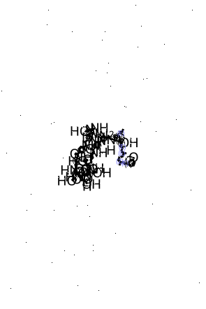 C/C=C/[C@@H]1O[C@H]([C@H](O)/C=C/C=C(\C)CC/C=C(C)\C=C\[C@H]2CC=CC(=O)O2)CC(NCc2cn(-c3ccc(C(=O)NCCCC[C@@H](CC(=O)O)NC(=O)[C@H](CC(=O)O)NC(=O)C(CC(=O)O)NC(=O)[C@@H](CC(=O)O)NC(=O)CC[C@@H](C)NC(=O)c4ccc(NCc5cnc6nc(N)nc(O)c6n5)cc4)cc3)nn2)[C@@H]1C